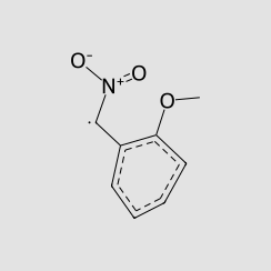 COc1ccccc1[CH][N+](=O)[O-]